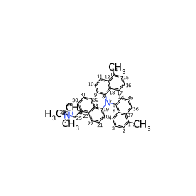 Cc1cccc2c(N(c3cccc4c(C)cccc34)c3cccc4c(C[N+](C)(C)C)cccc34)cccc12